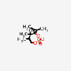 CC1=COS(=O)(=O)OC2(C(C)C2C)C1(C)C